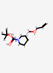 C=CCOC[C@@H]1CCCN(C(=O)OC(C)(C)C)C1